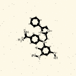 CCOc1cc(OC(C)C)c(F)c(N(Cc2nc(-c3ccccc3)co2)c2ccc(C(=N)N)cc2)c1